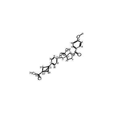 COc1ccc(C(=O)N2CCC(COc3ccc(C45CC(C(=O)O)(C4)C5)cc3)(C(=O)O)C2)cc1